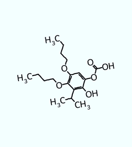 CCCCOc1cc(OC(=O)O)c(O)c(C(C)C)c1OCCCC